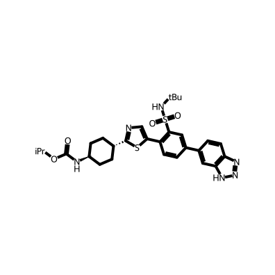 CC(C)OC(=O)N[C@H]1CC[C@H](c2ncc(-c3ccc(-c4ccc5nn[nH]c5c4)cc3S(=O)(=O)NC(C)(C)C)s2)CC1